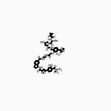 Cc1ncsc1-c1ccc(CNC(=O)[C@@H]2C[C@@H](O)CN2C(=O)[C@@H](NC(=O)C2(F)CC2)C(C)(C)C)c(OCC(=O)NCCNC(=O)c2ccc3c(c2)[C@H](NC(=O)c2cc(-c4ccc(C(=O)N(C)C)c(O)c4)on2)CC3)c1